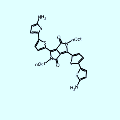 CCCCCCCCN1C(=O)C2=C(c3ccc(-c4ccc(N)s4)s3)N(CCCCCCCC)C(=O)C2=C1c1ccc(-c2ccc(N)s2)s1